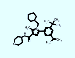 C=C(C)c1cc(-c2cc(C(=O)NC3CCOCC3)c(C)n2CC2CCCCC2)cc(C(C)(C)C)c1